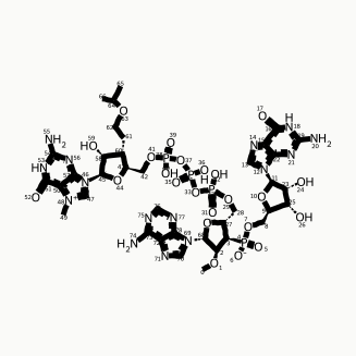 CO[C@@H]1[C@H](P(=O)([O-])OC[C@H]2O[C@@H](n3cnc4c(=O)[nH]c(N)nc43)[C@H](O)[C@@H]2O)[C@@H](COP(=O)(O)OP(=O)(O)OP(=O)(O)OC[C@H]2O[C@@H](n3c[n+](C)c4c(=O)[nH]c(N)nc43)[C@H](O)[C@@H]2CCOC(C)C)O[C@H]1n1cnc2c(N)ncnc21